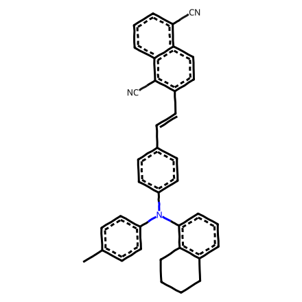 Cc1ccc(N(c2ccc(C=Cc3ccc4c(C#N)cccc4c3C#N)cc2)c2cccc3c2CCCC3)cc1